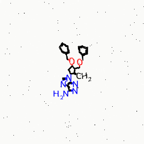 C=C1C(COCc2ccccc2)C(OCc2ccccc2)CC1n1cnc2c(N)ncnc21